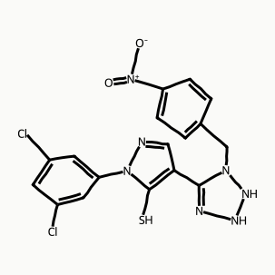 O=[N+]([O-])c1ccc(CN2NNN=C2c2cnn(-c3cc(Cl)cc(Cl)c3)c2S)cc1